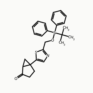 CC(C)(C)[Si](OCc1ncc(C23CCC(=O)C2C3)s1)(c1ccccc1)c1ccccc1